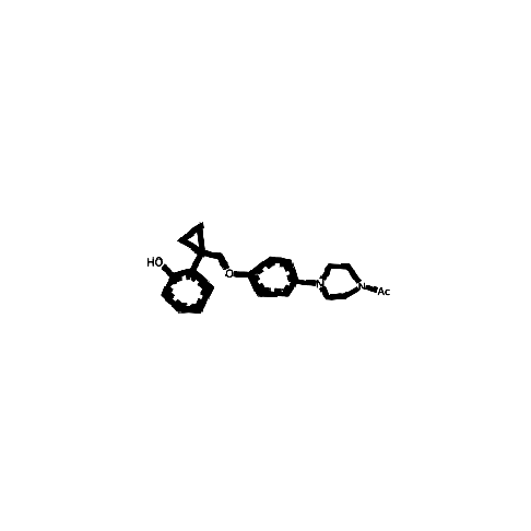 CC(=O)N1CCN(c2ccc(OCC3(c4ccccc4O)CC3)cc2)CC1